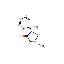 CC[C@@]1(N2C[C@H](C(=O)O)CC2=O)C=CC=CC1